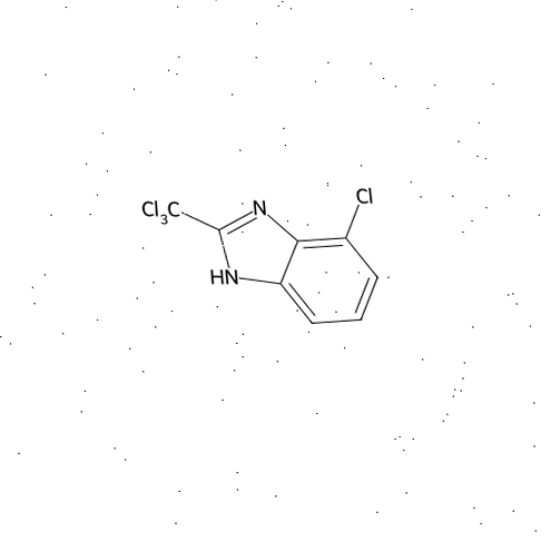 Clc1cccc2[nH]c(C(Cl)(Cl)Cl)nc12